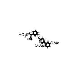 COc1ccc(F)c(-c2ncc(COc3cccc(C(CC(=O)O)C4CC4)c3)nc2OCC(C)C)c1